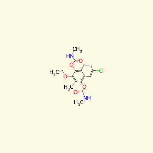 CCOc1c(C)c(OC(=O)NC)c2cc(Cl)ccc2c1OC(=O)NC